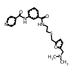 CN(C)Cc1ccc(CSCCNC(=O)c2cccc(NC(=O)c3ccncc3)c2)o1